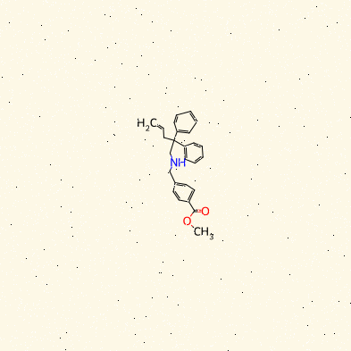 C=CCC(CNCc1ccc(C(=O)OC)cc1)(c1ccccc1)c1ccccc1